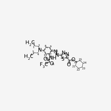 C=CCN(CC=C)c1ccc(N=Nc2nnc(C(=O)OC3CCCCC3)s2)c(NS(=O)(=O)C(F)(F)F)c1